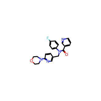 O=C(c1cccnc1)N(Cc1ccc(N2CCOCC2)nc1)c1ccc(F)cc1